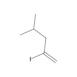 C=C(I)CC(C)C